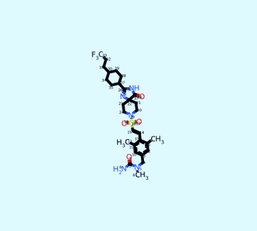 Cc1cc(CN(C)C(N)=O)cc(C)c1/C=C/S(=O)(=O)N1CCC2(CC1)N=C(C1CCC(CCC(F)(F)F)CC1)NC2=O